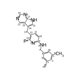 Cc1cc(F)cc(CNc2ccc(Cc3c[nH]c4ncncc34)c(F)n2)c1